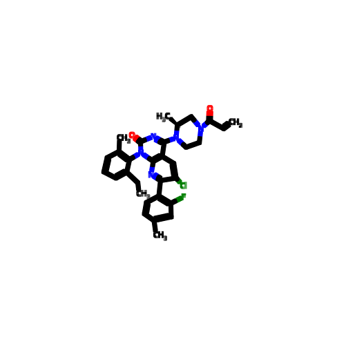 C=CC(=O)N1CCN(c2nc(=O)n(-c3c(C)cccc3CC)c3nc(-c4ccc(C)cc4F)c(Cl)cc23)[C@@H](C)C1